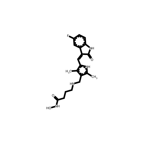 Cc1[nH]c(/C=C2\C(=O)Nc3ccc(F)cc32)c(C)c1CNCCCC(=O)NO